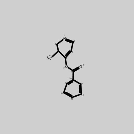 N#C[C]1CN=CC=C1OC(=O)c1ccccc1